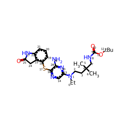 CCN(CCC(C)(C)CNC(=O)OC(C)(C)C)c1cnc(Sc2cccc3c2CC(=O)N3)c(N)n1